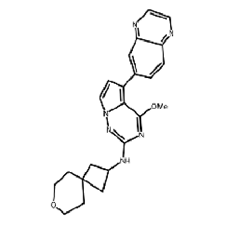 COc1nc(NC2CC3(CCOCC3)C2)nn2ccc(-c3ccc4nccnc4c3)c12